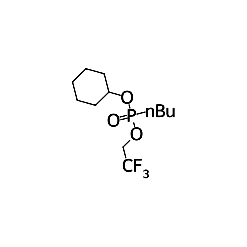 CCCCP(=O)(OCC(F)(F)F)OC1CCCCC1